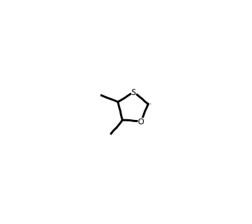 CC1O[CH]SC1C